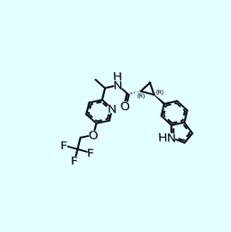 CC(NC(=O)[C@@H]1C[C@H]1c1ccc2cc[nH]c2c1)c1ccc(OCC(F)(F)F)cn1